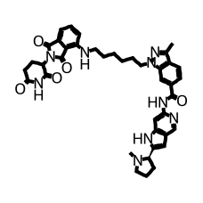 Cc1nn(CCCCCCNc2cccc3c2C(=O)N(C2CCC(=O)NC2=O)C3=O)c2cc(C(=O)Nc3cc4[nH]c([C@H]5CCCN5C)cc4cn3)ccc12